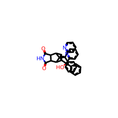 O=C1NC(=O)C2C3C(C(O)(c4ccccc4)c4ccccn4)=CC(C3=C(c3ccccc3)c3ccccn3)C12